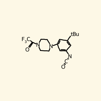 CC(C)(C)c1cc(N=C=O)cc(N2CCN(C(=O)C(F)(F)F)CC2)c1